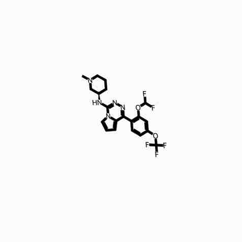 CN1CCC[C@@H](Nc2nnc(-c3ccc(OC(F)(F)F)cc3OC(F)F)c3cccn23)C1